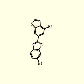 CCc1ccc2cc(-c3cc(CC)c4ccsc4c3)sc2c1